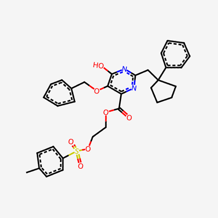 Cc1ccc(S(=O)(=O)OCCOC(=O)c2nc(CC3(c4ccccc4)CCCC3)nc(O)c2OCc2ccccc2)cc1